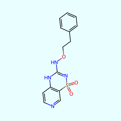 O=S1(=O)N=C(NOCCc2ccccc2)Nc2ccncc21